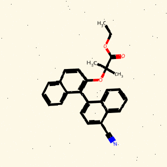 CCOC(=O)C(C)(C)Oc1ccc2ccccc2c1-c1ccc(C#N)c2ccccc12